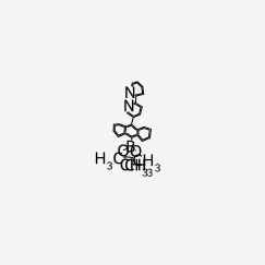 CC1(C)OB(c2c3ccccc3c(-c3ccc(-c4ccccn4)nc3)c3ccccc23)OC1(C)C